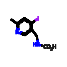 Cc1cc(I)c(CNC(=O)O)cn1